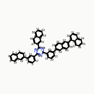 c1cc(-c2ccc3ccccc3c2)cc(-c2nc(-c3cccc(-c4ccc5cc(-c6cccc7ccccc67)ccc5c4)c3)nc(-c3ccc4ccccc4c3)n2)c1